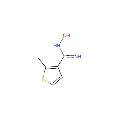 Cc1sccc1C(=N)NO